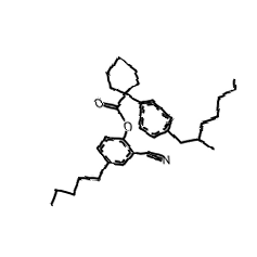 CCCCCc1ccc(OC(=O)C2(c3ccc(CC(C)CCCCC)cc3)CCCCC2)c(C#N)c1